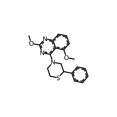 COc1nc(N2CCSC(c3ccccc3)C2)c2c(OC)cccc2n1